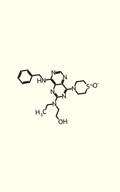 CCN(CCO)c1nc(N2CC[S+]([O-])CC2)c2ncnc(NCc3ccccc3)c2n1